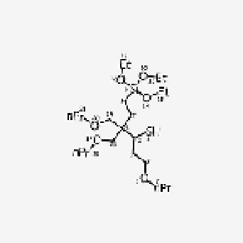 CCCOC[CH]C(S)C(CC[Si](OCC)(OCC)OCC)(COCCC)COCCC